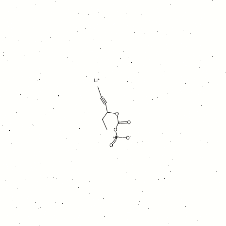 CC#CC(CC)OC(=O)O[PH](=O)[O-].[Li+]